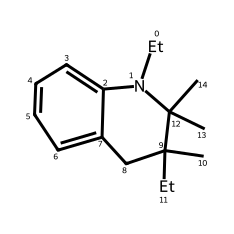 CCN1c2ccccc2CC(C)(CC)C1(C)C